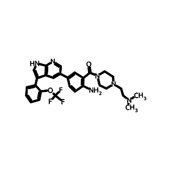 CN(C)CCN1CCN(C(=O)c2cc(-c3cnc4[nH]cc(-c5ccccc5OC(F)(F)F)c4c3)ccc2N)CC1